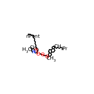 CCCCC/C=C\C/C=C\CCCCCCCCOCC(CN1CCC(C)(C)CC1)OCCOCCO[C@@]1(C)CCC2C(=CCC3C2CCC2C3CC[C@]2(C)CCCCC(C)C)C1